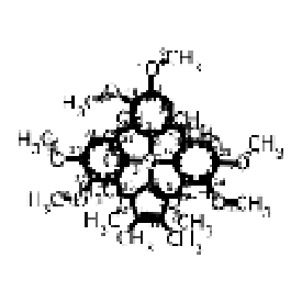 COc1cc(C)c([Si](C2=C(C)C(C)=C(C)C2C)(c2c(C)cc(OC)c(OC)c2OC)c2c(C)cc(OC)c(OC)c2OC)c(OC)c1OC